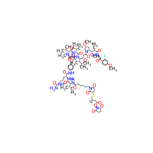 CC[C@H](C)C([C@@H](CC(=O)N1C[C@H](OC)C[C@H]1[C@H](OC)[C@@H](C)C(=O)NCC(=O)c1ccc(OC)cc1F)OC)N(C)C(=O)[C@@H](NC(=O)[C@H](C(C)C)N(C)C(=O)OCc1ccc(NC(=O)[C@H](CCCNC(N)=O)NC(=O)[C@@H](NC(=O)CCCCCN2C(=O)CC(SCC3(CC(=O)ON4C(=O)CCC4=O)CC3)C2=O)C(C)C)cc1)C(C)C